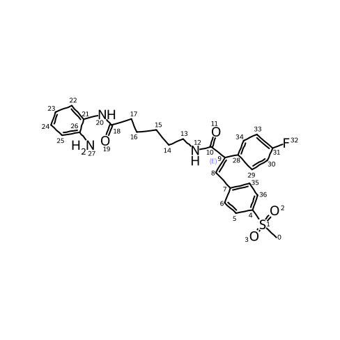 CS(=O)(=O)c1ccc(/C=C(/C(=O)NCCCCCC(=O)Nc2ccccc2N)c2ccc(F)cc2)cc1